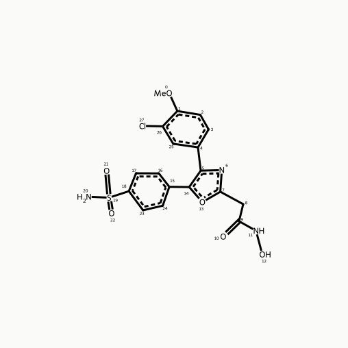 COc1ccc(-c2nc(CC(=O)NO)oc2-c2ccc(S(N)(=O)=O)cc2)cc1Cl